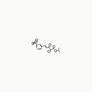 CC(C)OC(=O)C(Cl)C(=O)C=Cc1cccc([N+](=O)[O-])c1